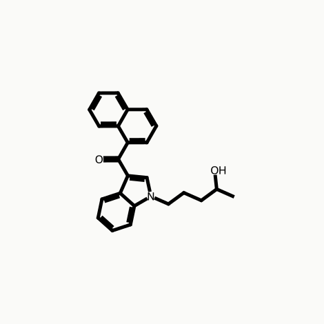 CC(O)CCCn1cc(C(=O)c2cccc3ccccc23)c2ccccc21